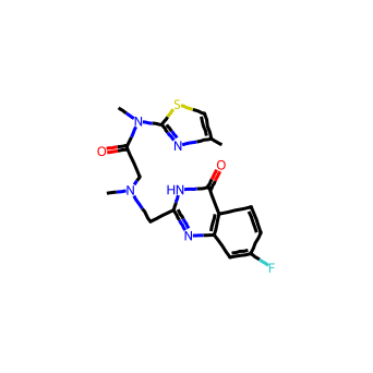 Cc1csc(N(C)C(=O)CN(C)Cc2nc3cc(F)ccc3c(=O)[nH]2)n1